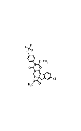 COC(=O)N(C(=O)N1COC2(C(=O)OC)Cc3cc(Cl)ccc3C2=N1)c1ccc(SC(F)(F)F)cc1